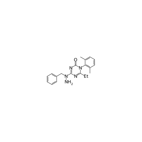 CCc1nc(N(N)Cc2ccccc2)nc(=O)n1-c1c(C)cccc1C